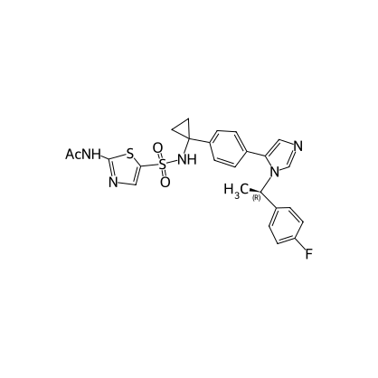 CC(=O)Nc1ncc(S(=O)(=O)NC2(c3ccc(-c4cncn4[C@H](C)c4ccc(F)cc4)cc3)CC2)s1